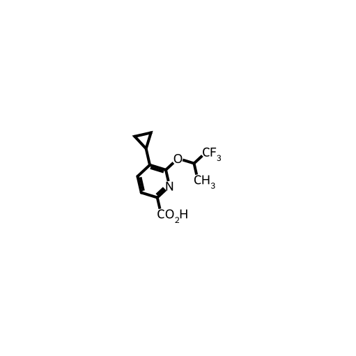 CC(Oc1nc(C(=O)O)ccc1C1CC1)C(F)(F)F